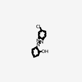 Oc1ccccc1-n1n2c3ccc(Cl)cc3n12